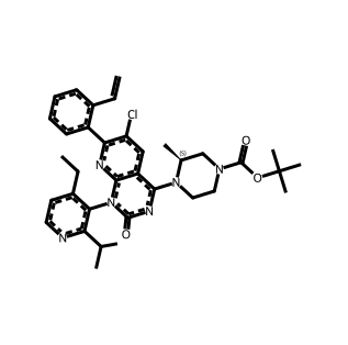 C=Cc1ccccc1-c1nc2c(cc1Cl)c(N1CCN(C(=O)OC(C)(C)C)C[C@@H]1C)nc(=O)n2-c1c(CC)ccnc1C(C)C